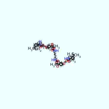 C=C(C)c1cccc(C(C)(C)NC(=O)OCCOc2ccc(C(=O)C(C)(C)OC(=O)NCCCCCCNC(=O)OC(C)(C)C(=O)c3ccc(OCCOC(=O)NC(C)(C)c4cccc(C(=C)C)c4)cc3)cc2)c1